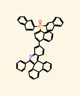 O=P(c1ccc2ccccc2c1)(c1ccc2ccccc2c1)c1ccc(-c2ccc3c(c2)nc(-c2ccccc2)c2c4ccccc4c4ccccc4c32)c2ccccc12